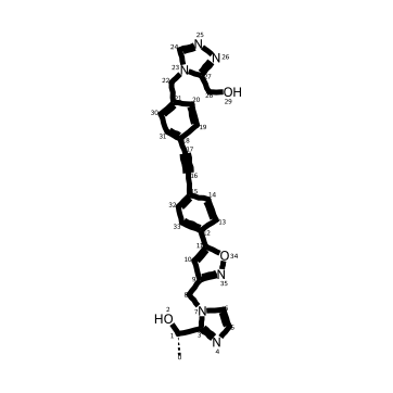 C[C@H](O)c1nccn1Cc1cc(-c2ccc(C#Cc3ccc(Cn4cnnc4CO)cc3)cc2)on1